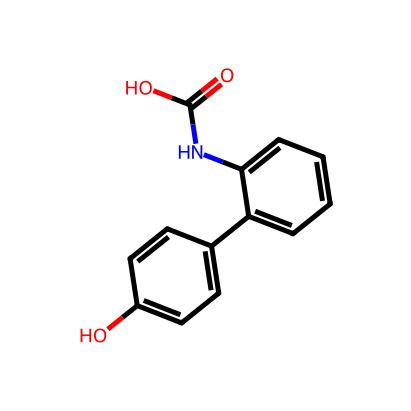 O=C(O)Nc1ccccc1-c1ccc(O)cc1